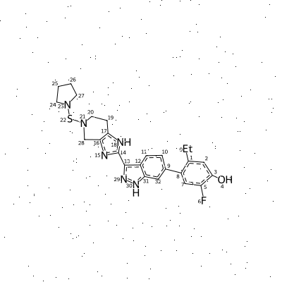 CCc1cc(O)c(F)cc1-c1ccc2c(-c3nc4c([nH]3)CCN(SN3CCCC3)C4)n[nH]c2c1